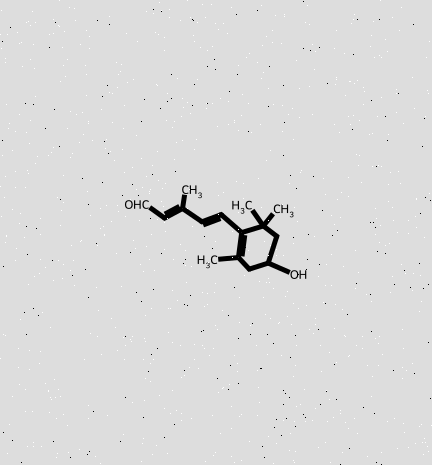 CC1=C(/C=C/C(C)=C/C=O)C(C)(C)CC(O)C1